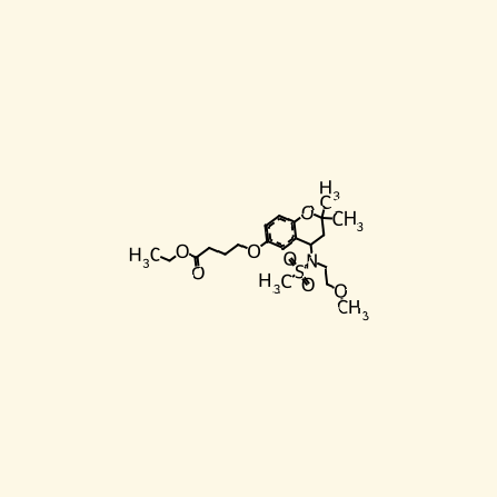 CCOC(=O)CCCOc1ccc2c(c1)C(N(CCOC)S(C)(=O)=O)CC(C)(C)O2